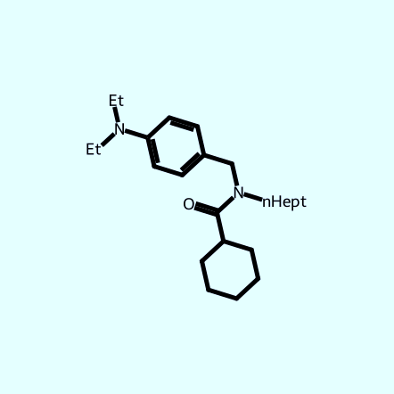 CCCCCCCN(Cc1ccc(N(CC)CC)cc1)C(=O)C1CCCCC1